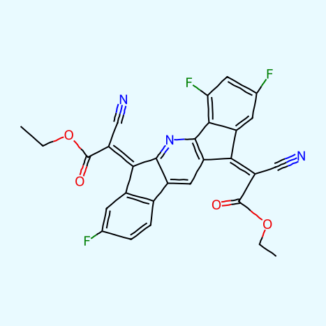 CCOC(=O)/C(C#N)=C1\c2cc3c(nc2-c2c(F)cc(F)cc21)/C(=C(\C#N)C(=O)OCC)c1cc(F)ccc1-3